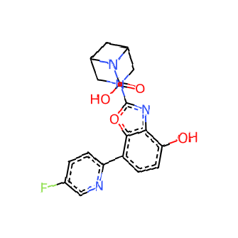 O=C(O)N1C2CC1CN(c1nc3c(O)ccc(-c4ccc(F)cn4)c3o1)C2